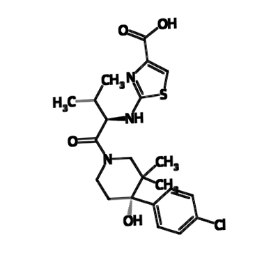 CC(C)[C@@H](Nc1nc(C(=O)O)cs1)C(=O)N1CC[C@](O)(c2ccc(Cl)cc2)C(C)(C)C1